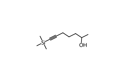 CC(O)CCCC#C[Si](C)(C)C